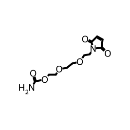 NC(=O)OCCOCCOCCN1C(=O)C=CC1=O